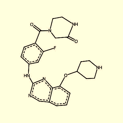 O=C1CN(C(=O)c2ccc(Nc3ncc4cccc(OC5CCNCC5)c4n3)cc2F)CCN1